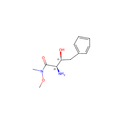 CON(C)C(=O)[C@H](N)[C@@H](O)Cc1ccccc1